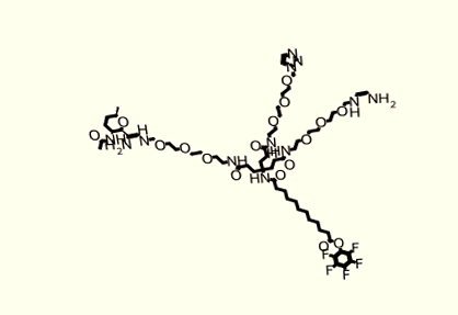 CC(=O)N[C@@H]1CC[C@@H](C)O[C@H]1/C(N)=C/NCOCCOCCOCCNC(=O)CCC(CCC(=O)NCCOCCOCCOCN/C=C\N)(CCC(=O)NCCOCCOCCOCn1ccnn1)NC(=O)CCCCCCCCCCC(=O)Oc1c(F)c(F)c(F)c(F)c1F